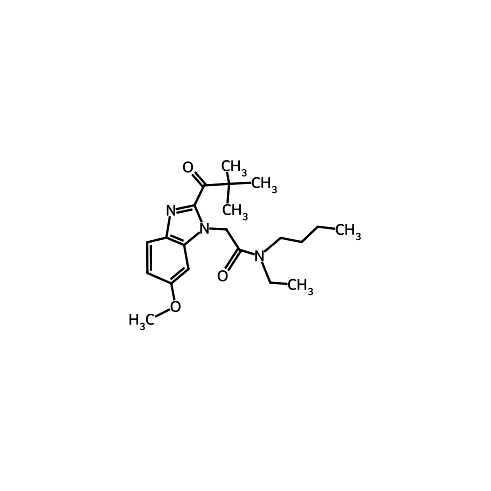 CCCCN(CC)C(=O)Cn1c(C(=O)C(C)(C)C)nc2ccc(OC)cc21